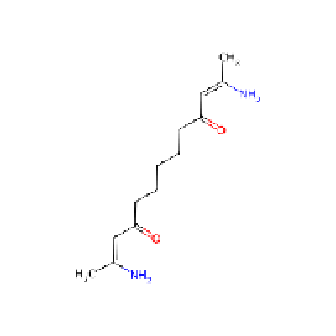 CC(N)=CC(=O)CCCCCC(=O)C=C(C)N